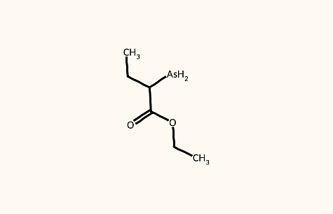 CCOC(=O)C([AsH2])CC